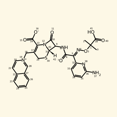 CC(C)(ON=C(C(=O)NC1C(=O)N2C(C(=O)[O-])=C(C[n+]3ccc4ccccc4c3)CS[C@@H]12)c1cccc(N)n1)C(=O)O